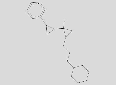 OC1([C@H]2CC2c2ccccc2)CC1CCCC1CCCCC1